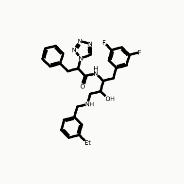 CCc1cccc(CNCC(O)C(Cc2cc(F)cc(F)c2)NC(=O)C(Cc2ccccc2)n2cnnn2)c1